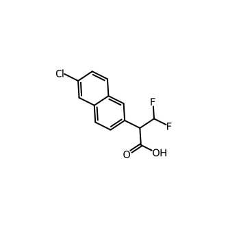 O=C(O)C(c1ccc2cc(Cl)ccc2c1)C(F)F